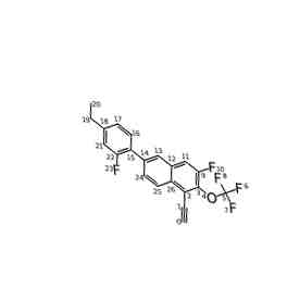 C#Cc1c(OC(F)(F)F)c(F)cc2cc(-c3ccc(CC)cc3F)ccc12